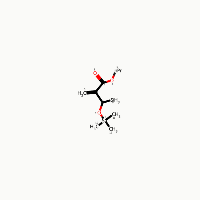 C=C(C(=O)OCCC)C([SiH3])O[Si](C)(C)C